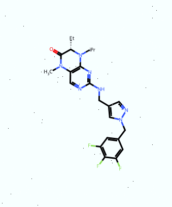 CC[C@H]1C(=O)N(C)c2cnc(NCc3cnn(Cc4cc(F)c(F)c(F)c4)c3)nc2N1C(C)C